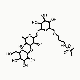 CC1OC(COC2OC(COCCCNS(=O)(=O)C(C)C)C(O)C(O)C2O)C(O)C(OC2OC(CO)C(O)C(O)C2O)C1O